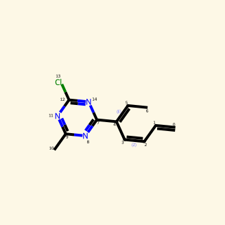 C=C/C=C\C(=C/C)c1nc(C)nc(Cl)n1